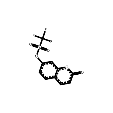 O=c1ccc2ccc(OS(=O)(=O)C(F)(F)F)cc2o1